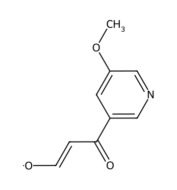 COc1cncc(C(=O)C=C[O])c1